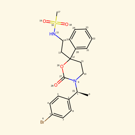 C[C@@H](c1ccc(Br)cc1)N1CCC(CCNS(C)(=O)=O)(c2ccccc2)OC1=O